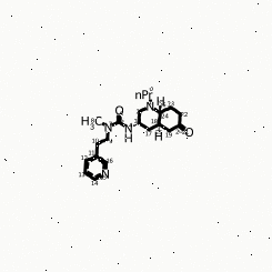 CCCN1C[C@@H](NC(=O)N(C)CCc2cccnc2)C[C@@H]2CC(=O)CC[C@H]21